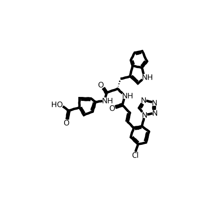 O=C(/C=C/c1cc(Cl)ccc1-n1cnnn1)N[C@@H](Cc1c[nH]c2ccccc12)C(=O)Nc1ccc(C(=O)O)cc1